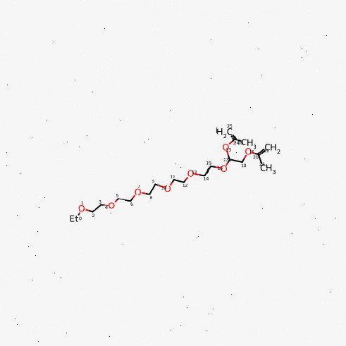 [CH2]COCCOCCOCCOCCOCCOC(COC(=C)C)OC(=C)C